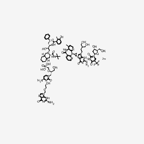 Cc1c(O)cccc1C(=O)N[C@@H](CSc1ccccc1)[C@H](O)CN1C[C@H]2CCCC[C@H]2C[C@H]1C(=O)NC(C)(C)C.Cc1ccnc2c1NC(=O)c1cccnc1N2C1CC1.Nc1ccn(C[C@@H](CO)OCP(=O)(O)O)c(=O)n1.Nc1nc(=O)c2ncn(CCC(CO)CO)c2[nH]1.Nc1nc(=O)c2ncn(COCCO)c2[nH]1.O=c1[nH]c(=O)n([C@H]2C[C@H](O)[C@@H](CO)O2)cc1C(F)(F)F.[Zn]